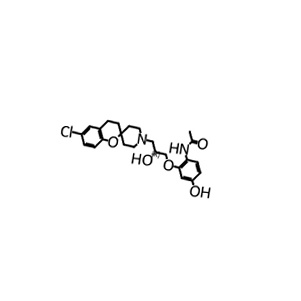 CC(=O)Nc1ccc(O)cc1OC[C@H](O)CN1CCC2(CCc3cc(Cl)ccc3O2)CC1